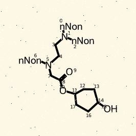 CCCCCCCCCN(CCCCCCCCC)CCN(CCCCCCCCC)CC(=O)OC1CCC(O)CC1